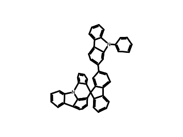 c1ccc(-n2c3ccccc3c3ccc(-c4ccc5c(c4)C4(c6ccccc6-5)c5ccccc5-n5c6ccccc6c6cccc4c65)cc32)cc1